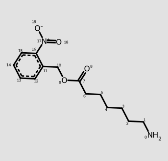 NCCCCCCC(=O)OCc1ccccc1[N+](=O)[O-]